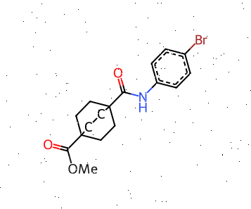 COC(=O)C12CCC(C(=O)Nc3ccc(Br)cc3)(CC1)CC2